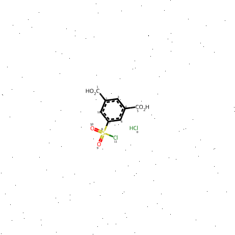 Cl.O=C(O)c1cc(C(=O)O)cc(S(=O)(=O)Cl)c1